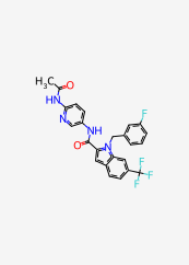 CC(=O)Nc1ccc(NC(=O)c2cc3ccc(C(F)(F)F)cc3n2Cc2cccc(F)c2)cn1